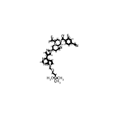 C[Si](C)(C)CCOCn1ccc2c(-c3cnn(C(CC#N)CN4CCN(C(=O)c5ccc(C#N)cc5F)CC4C(F)F)c3)ncnc21